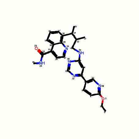 CCOc1ccc(-c2cc(NCC(C)C(C)c3cccc4c(C(=O)NC)ccnc34)ncn2)cn1